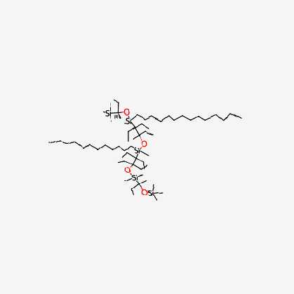 CCCCCCCCCCCCCC[Si](C)(O[C@@](C)(CC)[Si](C)(C)C)C(CC)(CC)C(C)(CC)O[Si](C)(CCCCCCCCCCCC)C(CC)(CC)C(CC)(CC)O[Si](C)(C)C(C)(CC)O[Si](C)(C)C